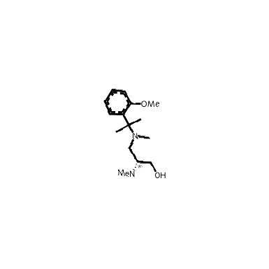 CN[C@@H](CO)CN(C)C(C)(C)c1ccccc1OC